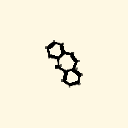 [c]1ccc2c(c1)Nc1ccccc1C=C2